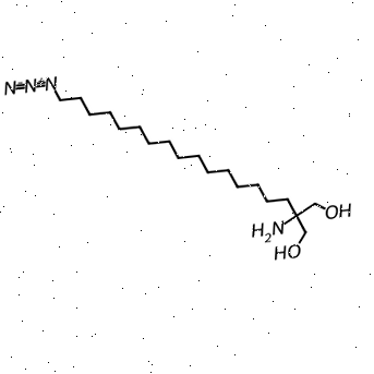 [N-]=[N+]=NCCCCCCCCCCCCCCCCC(N)(CO)CO